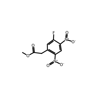 COC(=O)Cc1cc(F)c([N+](=O)[O-])cc1[N+](=O)[O-]